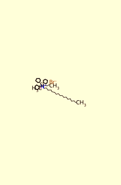 CCCCCCCCCCCCCCCCCC[N+](C)(CCCC)[Si](c1ccccc1)(c1ccccc1)c1ccccc1.[Br-]